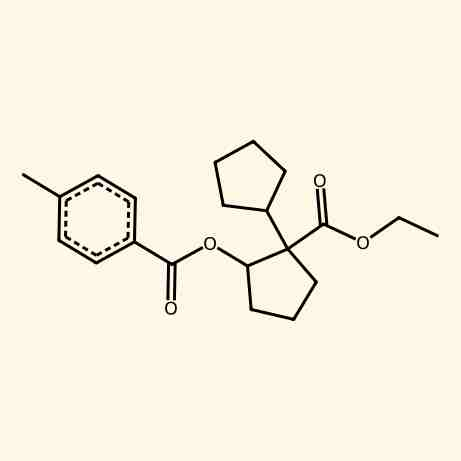 CCOC(=O)C1(C2CCCC2)CCCC1OC(=O)c1ccc(C)cc1